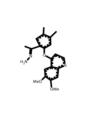 COc1cc2nccc(Oc3cc(C)c(C)cc3C(C)=NN)c2cc1OC